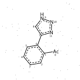 CC(=O)c1ccccc1-c1c[nH]nn1